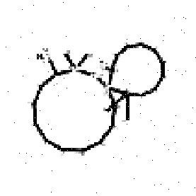 CC1(C)CCCCCCCCC(N)[Si]12CCCCCCCCCC(N)[Si](C)(C)O2